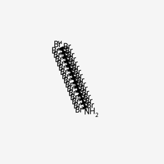 NC(Br)(Br)C(Br)(Br)C(Br)(Br)C(Br)(Br)C(Br)(Br)C(Br)(Br)C(Br)(Br)C(Br)(Br)C(Br)(Br)C(Br)(Br)C(Br)(Br)C(Br)(Br)C(Br)(Br)C(Br)(Br)C(Br)(Br)Br